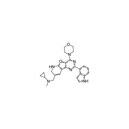 CN(CC1=Cc2c(oc3c(N4CCOCC4)nc(-c4cccc5[nH]ccc45)nc23)NC1)C1CC1